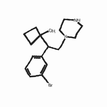 OC1(C(CN2CCNCC2)c2cccc(Br)c2)CCC1